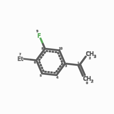 C=C(C)c1ccc(CC)c(F)c1